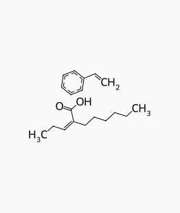 C=Cc1ccccc1.CCC=C(CCCCCC)C(=O)O